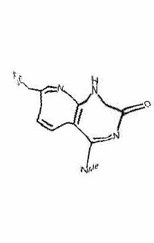 CNc1nc(=O)[nH]c2nc(C(F)(F)F)ccc12